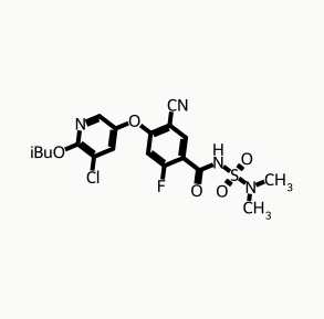 CC(C)COc1ncc(Oc2cc(F)c(C(=O)NS(=O)(=O)N(C)C)cc2C#N)cc1Cl